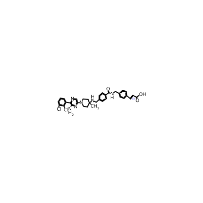 CC1(NCc2ccc(C(=O)NCc3ccc(/C=C/C(=O)O)cc3)cc2)CCN(c2cnc(-c3cccc(Cl)c3Cl)c(N)n2)CC1